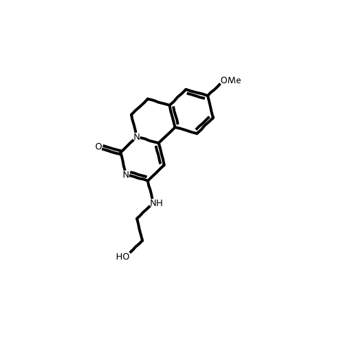 COc1ccc2c(c1)CCn1c-2cc(NCCO)nc1=O